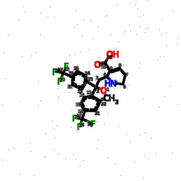 COC(CC1NCCC=C1C(=O)O)(c1ccc(C(F)(F)F)cc1)c1ccc(C(F)(F)F)cc1